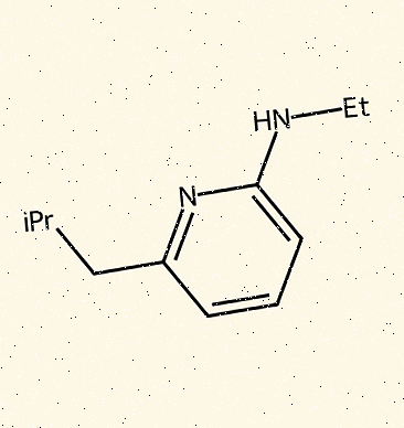 CCNc1cccc(CC(C)C)n1